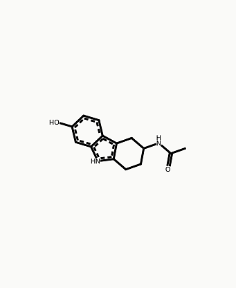 CC(=O)NC1CCc2[nH]c3cc(O)ccc3c2C1